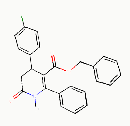 CN1C(=O)CC(c2ccc(Cl)cc2)C(C(=O)OCc2ccccc2)=C1c1ccccc1